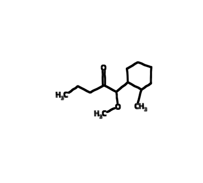 CCCC(=O)C(OC)C1CCCCC1C